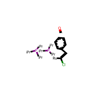 CC(C)P(C(C)C)C(C)C.CC(C)P(C(C)C)C(C)C.Cl[C]([Ru])=Cc1ccccc1.[C]=O